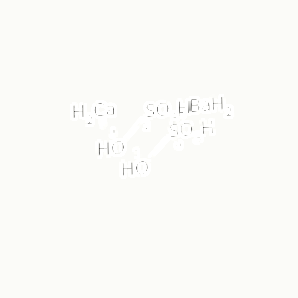 O=S(=O)(O)O.O=S(=O)(O)O.[BaH2].[CaH2]